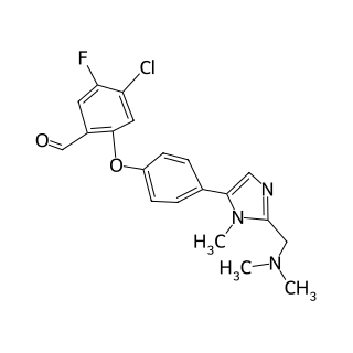 CN(C)Cc1ncc(-c2ccc(Oc3cc(Cl)c(F)cc3C=O)cc2)n1C